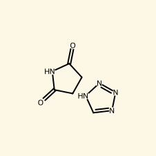 O=C1CCC(=O)N1.c1nnn[nH]1